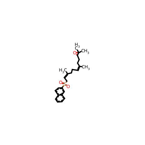 CC(=CCS(=O)(=O)c1ccc2ccccc2c1)CCC=C(C)CCC1OC1(C)C